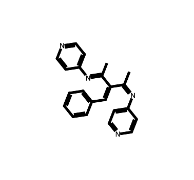 CC(=Nc1ccncc1)C(=Cc1ccccc1)C(C)=Nc1ccncc1